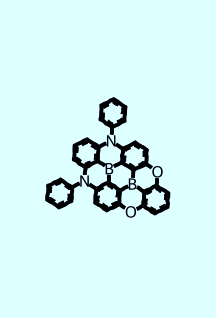 c1ccc(N2c3cccc4c3B3c5c2ccc2c5B5c6c(cccc6Oc6ccc(c3c65)N4c3ccccc3)O2)cc1